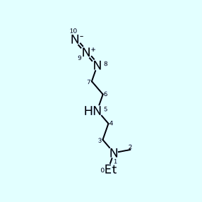 CCN(C)CCNCCN=[N+]=[N-]